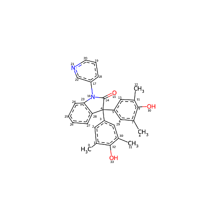 Cc1cc(C2(c3cc(C)c(O)c(C)c3)C(=O)N(c3cccnc3)c3ccccc32)cc(C)c1O